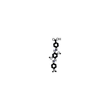 COc1cc(/N=N/c2ccc(N(C)C)cc2)c(OC)cc1/N=N/c1ccc(C(=O)O)cc1